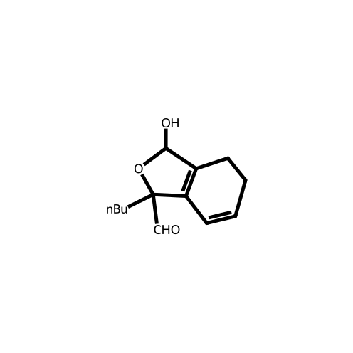 CCCCC1(C=O)OC(O)C2=C1C=CCC2